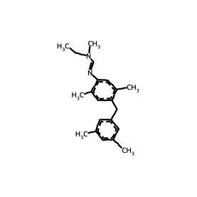 CCN(C)C=Nc1cc(C)c(Cc2cc(C)cc(C)c2)cc1C